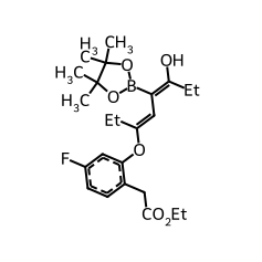 CCOC(=O)Cc1ccc(F)cc1O/C(=C/C(B1OC(C)(C)C(C)(C)O1)=C(/O)CC)CC